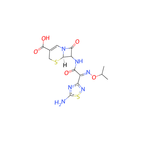 CC(C)ON=C(C(=O)NC1C(=O)N2C=C(C(=O)O)CS[C@H]12)c1nsc(N)n1